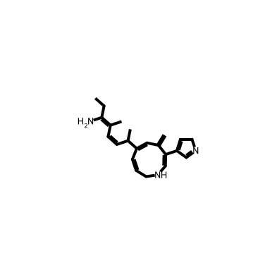 C=C1/C=C(C(C)/C=C\C(C)=C(/N)CC)\C=C/CN/C=C\1C1=CCN=C1